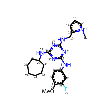 COc1ccc(Nc2nc(NCc3cccn3C)nc(NC3CCCCCC3)n2)cc1F